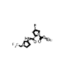 CC(C)(C)OC(=O)N1C[C@H](F)C[C@H]1C(=O)NC1CCN(CC(F)(F)F)C1